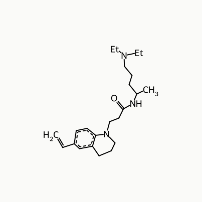 C=Cc1ccc2c(c1)CCCN2CCC(=O)NC(C)CCCN(CC)CC